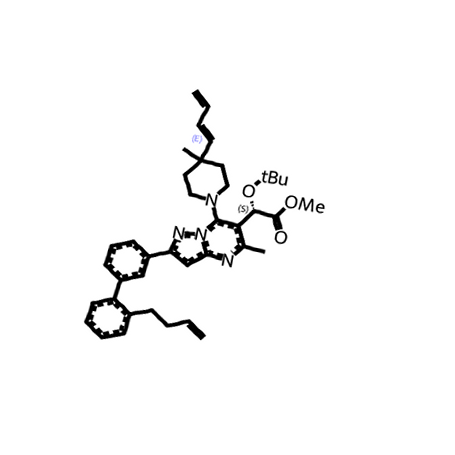 C=C/C=C/C1(C)CCN(c2c([C@H](OC(C)(C)C)C(=O)OC)c(C)nc3cc(-c4cccc(-c5ccccc5CCC=C)c4)nn23)CC1